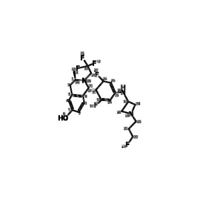 C[C@@H]1Cc2cc(O)ccc2[C@@H](C2C(F)=CC(NC3CN(CCCF)C3)=CC2F)N1CC(F)(F)F